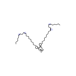 CCCCC/C=C\C/C=C\CCCCCCCCO[C@H]1C[N+](C)(C)C[C@@H]1OCCCCCCCC/C=C\C/C=C\CCCCC